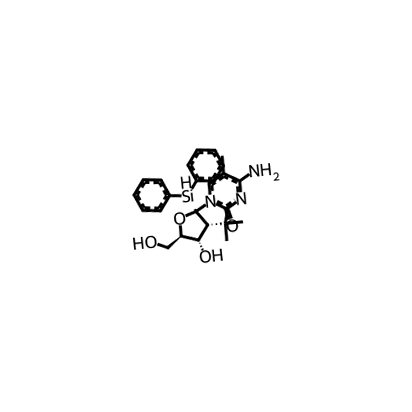 Cc1cn([C@]2([SiH](c3ccccc3)c3ccccc3)O[C@H](CO)[C@@H](O)[C@H]2C(C)(C)C)c(=O)nc1N